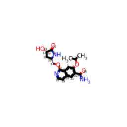 CC(C)Oc1cc2c(OC[C@@H]3C[C@H](O)C(=O)N3)nccc2cc1C(N)=O